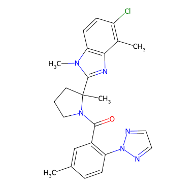 Cc1ccc(-n2nccn2)c(C(=O)N2CCCC2(C)c2nc3c(C)c(Cl)ccc3n2C)c1